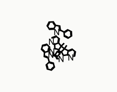 CC1(C2(C)c3cccnc3-c3ncc(-n4c(-c5ccccc5)cc5ccccc54)cc32)c2cccnc2-c2ncc(-n3c(-c4ccccc4)cc4ccccc43)cc21